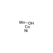 [Co].[Ni].[OH][Mn]